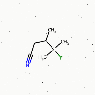 CC(CC#N)[Si](C)(C)F